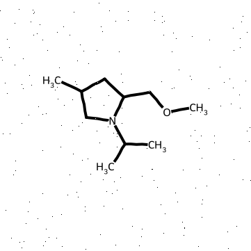 COCC1CC(C)CN1C(C)C